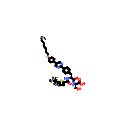 CCCCCCCOc1ccc(-c2cnc(-c3ccc(C[C@H](NC(=O)c4ccc(C(C)(C)C)s4)C(=O)N[C@H](CO)C(=O)O)cc3)nc2)cc1